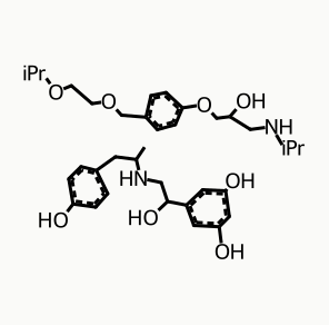 CC(C)NCC(O)COc1ccc(COCCOC(C)C)cc1.CC(Cc1ccc(O)cc1)NCC(O)c1cc(O)cc(O)c1